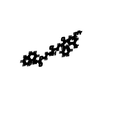 CCC[n+]1cc(Br)cc(C(=O)N(CCC(=O)NCCOC(=O)Nc2cccc3ccccc23)c2ccccc2)c1